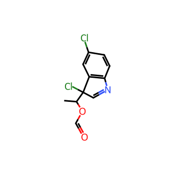 CC(OC=O)C1(Cl)C=Nc2ccc(Cl)cc21